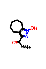 CNC(=O)c1nn(O)c2c1CCCCC2